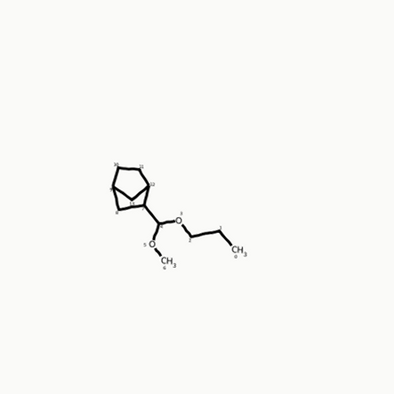 CCCOC(OC)C1CC2CCC1C2